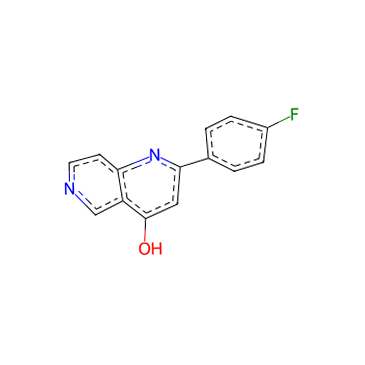 Oc1cc(-c2ccc(F)cc2)nc2ccncc12